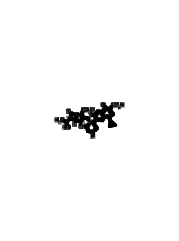 CC(O)[C@H]1C(=O)N2C(C(=O)O)=C(CN3CCNCC3c3cc4c(cc3F)c(=O)c(C(=O)O)cn4C3CC3)[C@H](C)[C@H]12